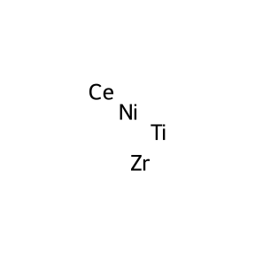 [Ce].[Ni].[Ti].[Zr]